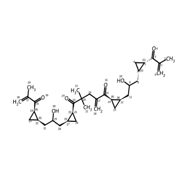 C=C(C)C(=O)[C@H]1C[C@H]1CC(O)C[C@H]1C[C@H]1C(=O)C(=C)CC(C)(C)C(=O)[C@H]1C[C@H]1CC(O)C[C@H]1C[C@H]1C(=O)C(=C)C